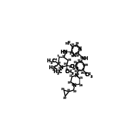 CN1C(C)(C)CC(Nc2nc(Nc3ccc(N4CCN(CC5CC5)CC4)c(C(F)(F)F)c3)ncc2F)CC1(C)C